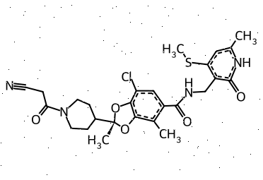 CSc1cc(C)[nH]c(=O)c1CNC(=O)c1cc(Cl)c2c(c1C)O[C@](C)(C1CCN(C(=O)CC#N)CC1)O2